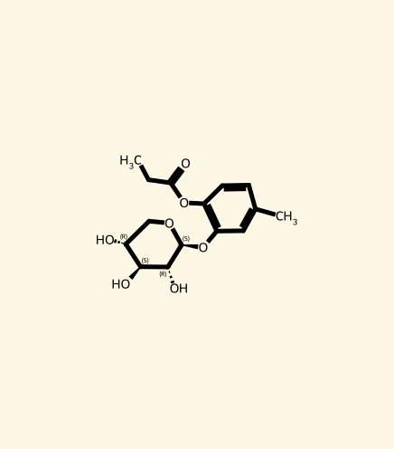 CCC(=O)Oc1ccc(C)cc1O[C@@H]1OC[C@@H](O)[C@H](O)[C@H]1O